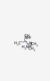 C=N/C(=C\C=C(/CCC)CNC)C(C)(N)F